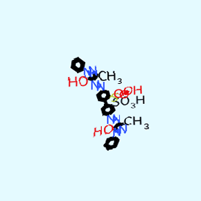 Cc1nn(-c2ccccc2)c(O)c1/N=N/c1ccc(-c2ccc(/N=N/c3c(C)nn(-c4ccccc4)c3O)cc2S(=O)(=O)O)c(SOOO)c1